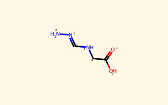 NN=CNCC(=O)O